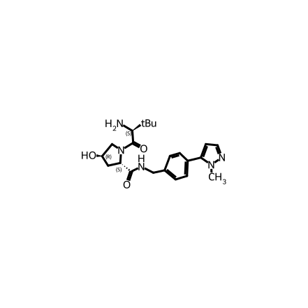 Cn1nccc1-c1ccc(CNC(=O)[C@@H]2C[C@@H](O)CN2C(=O)[C@@H](N)C(C)(C)C)cc1